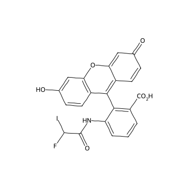 O=C(O)c1cccc(NC(=O)C(F)I)c1-c1c2ccc(=O)cc-2oc2cc(O)ccc12